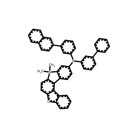 C[Si]1(C)c2cc(N(c3cccc(-c4ccccc4)c3)c3cccc(-c4ccc5ccccc5c4)c3)ccc2-c2c1ccc1oc3ccccc3c21